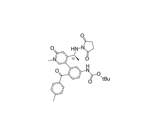 Cc1ccc(C(=O)c2ccc(NC(=O)OC(C)(C)C)cc2-c2cn(C)c(=O)cc2[C@H](C)NN2C(=O)CCC2=O)cc1